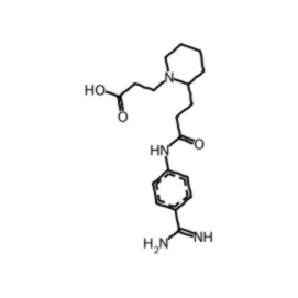 N=C(N)c1ccc(NC(=O)CCC2CCCCN2CCC(=O)O)cc1